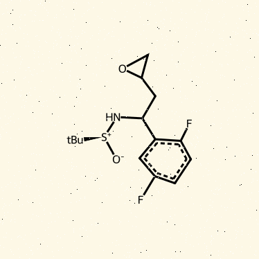 CC(C)(C)[S@+]([O-])NC(CC1CO1)c1cc(F)ccc1F